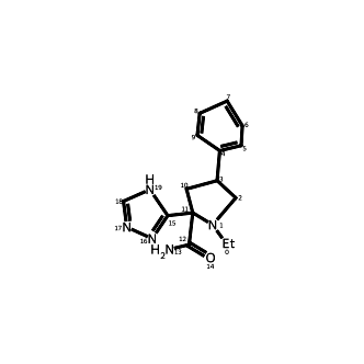 CCN1CC(c2ccccc2)CC1(C(N)=O)c1nnc[nH]1